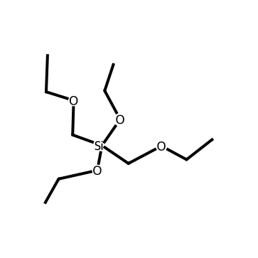 CCOC[Si](COCC)(OCC)OCC